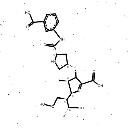 C[C@@H](O)[C@@H](COO)[C@@H]1N=C(C(=O)O)C(S[C@@H]2CN[C@H](C(=O)Nc3cccc(C(=O)O)c3)C2)[C@@H]1C